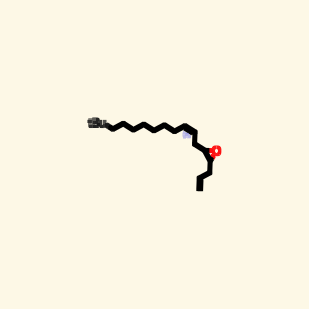 C=CCC1OC1C/C=C\CCCCCCCC(C)(C)C